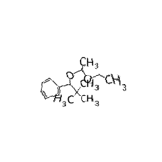 CCOC(C)OC(c1ccccc1)C(C)(C)C